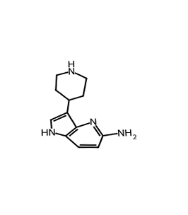 Nc1ccc2[nH]cc(C3CCNCC3)c2n1